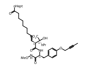 CC#CCOc1ccc(C[C@H](NC(=O)[C@@H](C=CCCCCCCC(=O)CCCCCCC)[C@@](O)(CCC)C(=O)O)C(=O)NOC)cc1